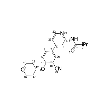 CC(C)C(=O)Nc1cc(-c2ccc(OC3CCOCC3)c(C#N)c2)ccn1